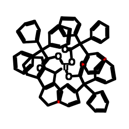 O=C([O][Ti]([O]C(=O)C(c1ccccc1)(c1ccccc1)c1ccccc1)([O]C(=O)C(c1ccccc1)(c1ccccc1)c1ccccc1)[CH]1C2=C(CCCC2)C2=C1CCCC2)C(c1ccccc1)(c1ccccc1)c1ccccc1